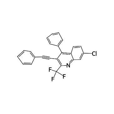 FC(F)(F)c1nc2cc(Cl)ccc2c(-c2ccccc2)c1C#Cc1ccccc1